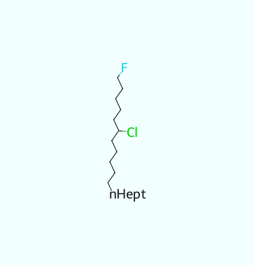 CCCCCCCCCCCCC(Cl)CCCCCF